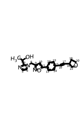 CC(O)c1nccn1Cc1cc(-c2ccc(C#CC3CCOC3)cc2)on1